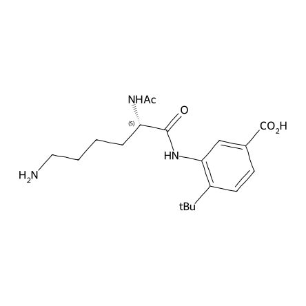 CC(=O)N[C@@H](CCCCN)C(=O)Nc1cc(C(=O)O)ccc1C(C)(C)C